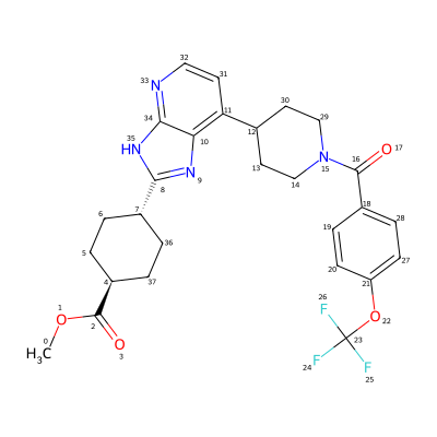 COC(=O)[C@H]1CC[C@H](c2nc3c(C4CCN(C(=O)c5ccc(OC(F)(F)F)cc5)CC4)ccnc3[nH]2)CC1